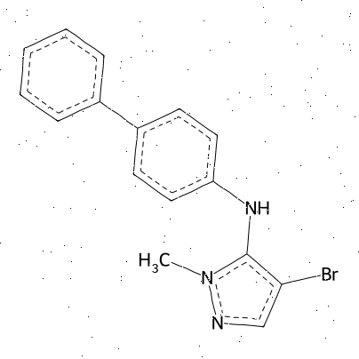 Cn1ncc(Br)c1Nc1ccc(-c2ccccc2)cc1